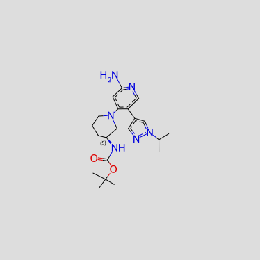 CC(C)n1cc(-c2cnc(N)cc2N2CCC[C@H](NC(=O)OC(C)(C)C)C2)cn1